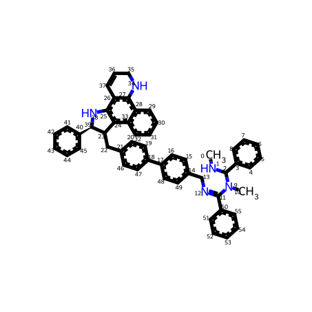 CNC(c1ccccc1)N(C)/C(=N\Cc1ccc(-c2ccc(CC3c4c(c5c(c6ccccc46)NCC=C5)N[C@@H]3c3ccccc3)cc2)cc1)c1ccccc1